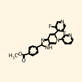 COC(=O)c1ccc(C2N=C3C=C(c4c(F)cncc4F)N(c4cccnc4)C=C3N2)cc1